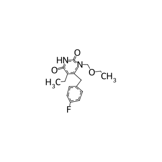 CCOCn1c(Cc2ccc(F)cc2)c(CC)c(=O)[nH]c1=O